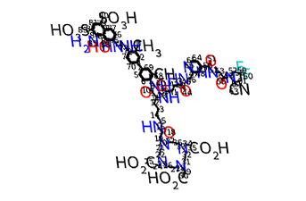 Cc1cc(-c2ccc(NC(=O)C(CCCCNC(=O)CN3CCN(CC(=O)O)CCN(CC(=O)O)CCN(CC(=O)O)CC3)NC(=O)CCC(=O)NCc3cc(C(=O)NCC(=O)N4CC(F)(F)C[C@H]4C#N)ccn3)c(C)c2)ccc1NNc1ccc2c(S(=O)(=O)O)cc(S(=O)(=O)O)c(N)c2c1O